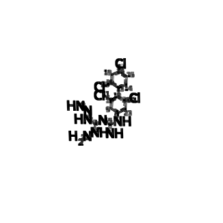 N=NN/C(=N/C(=N)Nc1cc(Cl)c(-c2ccc(Cl)cc2Cl)c(Cl)c1)NN